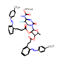 CCCCCOC(=O)NC1=NC(=O)N(C2OC(C)C(OC(=O)CCc3ccccc3/N=N/c3ccc(C(=O)O)cc3)C2OC(=O)CCc2ccccc2/N=N/c2ccc(C(=O)O)cc2)CC1F